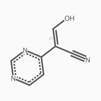 N#C/C(=C\O)c1ccncn1